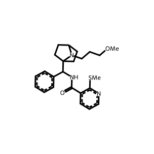 COCCCN1C2CCC1(C(NC(=O)c1cccnc1SC)c1ccccc1)CC2